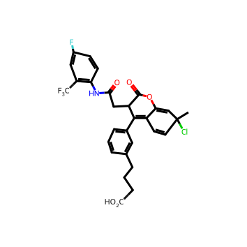 CC1(Cl)C=CC2=C(c3cccc(CCCC(=O)O)c3)C(CC(=O)Nc3ccc(F)cc3C(F)(F)F)C(=O)OC2=C1